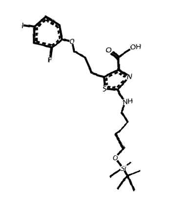 CC(C)(C)[Si](C)(C)OCCCCNc1nc(C(=O)O)c(CCCOc2ccc(I)cc2F)s1